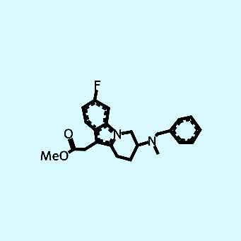 COC(=O)Cc1c2n(c3cc(F)ccc13)CC(N(C)Cc1ccccc1)CC2